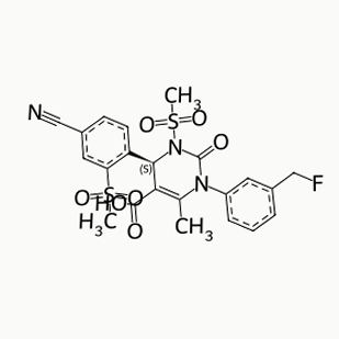 CC1=C(C(=O)O)[C@@H](c2ccc(C#N)cc2S(C)(=O)=O)N(S(C)(=O)=O)C(=O)N1c1cccc(CF)c1